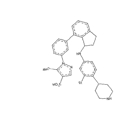 CCc1cc(NC2CCc3cccc(-c4cccc(-n5ncc(C(=O)O)c5OC)c4)c32)ccc1C1CCNCC1